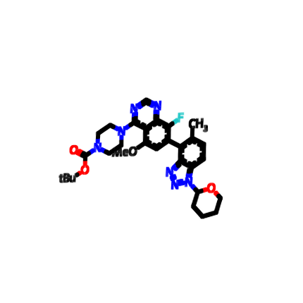 COc1cc(-c2c(C)ccc3c2nnn3C2CCCCO2)c(F)c2ncnc(N3CCN(C(=O)OC(C)(C)C)CC3)c12